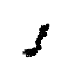 C[C@@H]1CNc2c(sc3ccc4nc(-c5cccc(N6CCC(CN7CCC(c8cccc9c8n(C)c(=O)n9C8CCC(=O)NC8=O)CC7)CC6)c5)ccc4c23)C(=O)N1